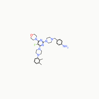 Cc1cccc(N2CCN(c3nc(N4CCN(Cc5ccc(N)cc5)CC4)nc(N4CCOCC4)c3F)CC2)c1C